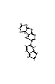 c1ccc2nc(-c3ccc4oc5nccnc5c4n3)ccc2c1